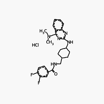 CN(C)c1nc(NC2CCC(CNC(=O)c3ccc(F)c(F)c3)CC2)nc2ccccc12.Cl